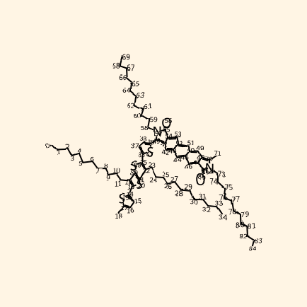 CCCCCCCCCCCCc1c(-c2ccc(C)s2)sc2c(CCCCCCCCCCCC)c(-c3ccc(C4=c5cc6cc7cc8c(cc7cc6cc5C(=O)N4CCCCCCCCCCCC)=C(C)N(CCCCCCCCCCCC)C8=O)s3)sc12